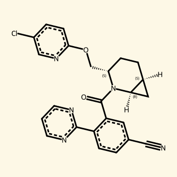 N#Cc1ccc(-c2ncccn2)c(C(=O)N2[C@H](COc3ccc(Cl)cn3)CC[C@H]3C[C@H]32)c1